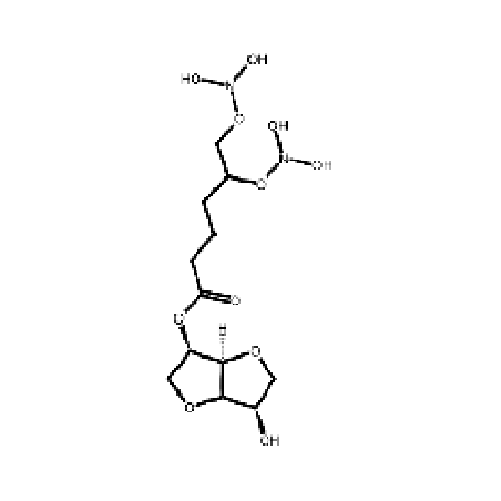 O=C(CCCC(CON(O)O)ON(O)O)O[C@@H]1COC2[C@H](O)CO[C@@H]21